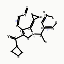 C=N/C=C\C1=C(C(=O)C2CCC2)CN(C(C)C(/C=N\C)=C/C)C1=C1CC1